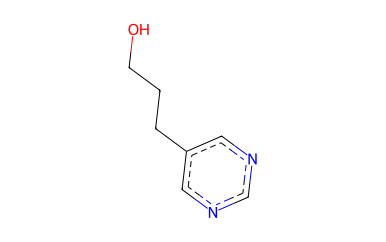 OCCCc1cncnc1